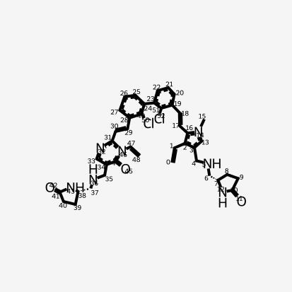 C=Cc1c(CNC[C@@H]2CCC(=O)N2)cn(C)c1/C=C/c1cccc(-c2cccc(/C=C/c3ncc(CNC[C@@H]4CCC(=O)N4)c(=O)n3C=C)c2Cl)c1Cl